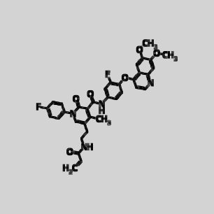 C=CC(=O)NCCc1cn(-c2ccc(F)cc2)c(=O)c(C(=O)Nc2ccc(Oc3ccnc4cc(OC)c(OC)cc34)c(F)c2)c1C